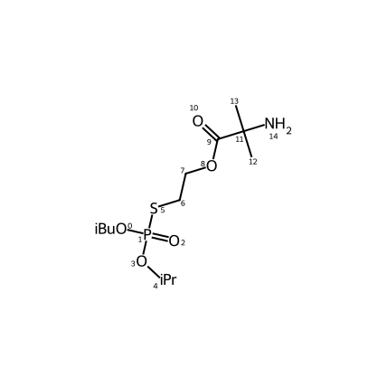 CC(C)COP(=O)(OC(C)C)SCCOC(=O)C(C)(C)N